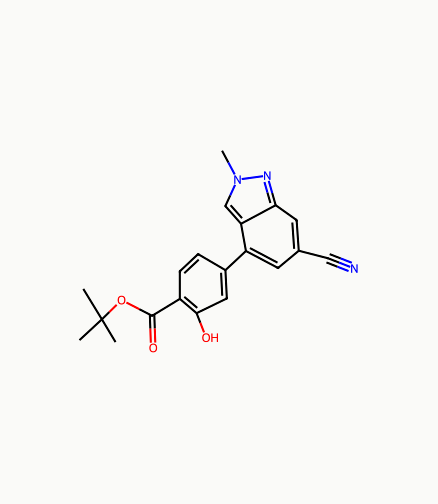 Cn1cc2c(-c3ccc(C(=O)OC(C)(C)C)c(O)c3)cc(C#N)cc2n1